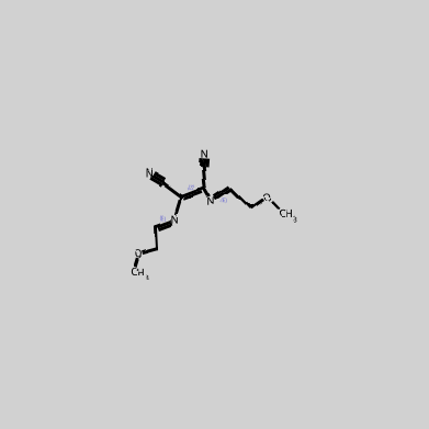 COC/C=N/C(C#N)=C(C#N)\N=C\COC